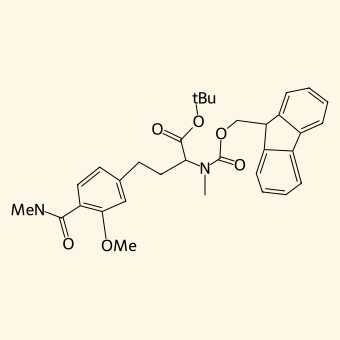 CNC(=O)c1ccc(CCC(C(=O)OC(C)(C)C)N(C)C(=O)OCC2c3ccccc3-c3ccccc32)cc1OC